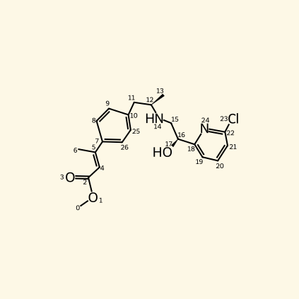 COC(=O)C=C(C)c1ccc(C[C@@H](C)NC[C@H](O)c2cccc(Cl)n2)cc1